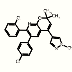 Cn1cc(C2=CC(C)(C)Oc3nc(-c4ccccc4Cl)c(-c4ccc(Cl)cc4)cc32)cn1